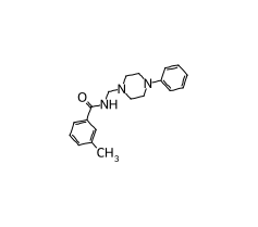 Cc1cccc(C(=O)NCN2CCN(c3ccccc3)CC2)c1